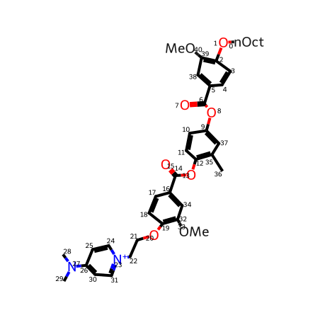 CCCCCCCCOc1ccc(C(=O)Oc2ccc(OC(=O)c3ccc(OCC[n+]4ccc(N(C)C)cc4)c(OC)c3)c(C)c2)cc1OC